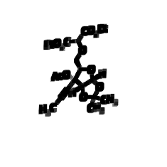 CC#C[C@@]1(OC(C)=O)[C@@H](COC(C(=O)OCC)C(=O)OCC)O[C@@H]2OC(C)(C)O[C@@H]21